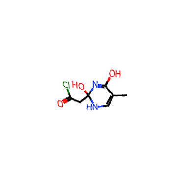 CC1=CNC(O)(CC(=O)Cl)N=C1O